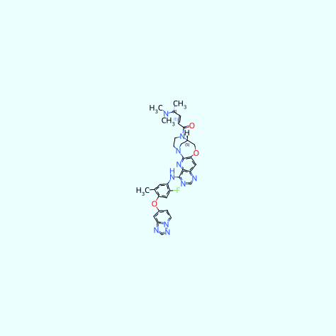 Cc1cc(Nc2ncnc3cc4c(nc23)N2CCN(C(=O)/C=C/[C@@H](C)N(C)C)[C@H](CO4)C2)c(F)cc1Oc1ccn2ncnc2c1